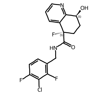 O=C(NCc1ccc(F)c(Cl)c1F)[C@]1(F)CC[C@H](O)c2ncccc21